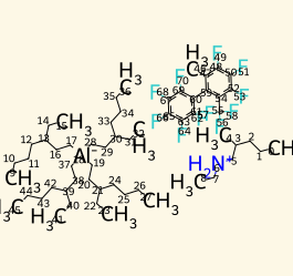 CCCC(C)C[NH2+]CC.CCCCC(CC)C[CH2][Al-]([CH2]CC(CC)CCCC)([CH2]CC(CC)CCCC)[CH2]CC(CC)CCCC.Cc1c(F)c(F)c(F)c(C(F)(F)F)c1-c1c(F)c(F)c(F)c(F)c1F